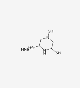 SC1CN(S)CC(S)N1.[NaH]